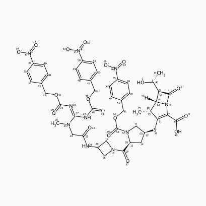 C[C@@H](O)[C@H]1C(=O)N2C(C(=O)O)=C(S[C@H]3C[C@@H](C(=O)N4CC(NC(=O)CN(C)C(=NC(=O)OCc5ccc([N+](=O)[O-])cc5)NC(=O)OCc5ccc([N+](=O)[O-])cc5)C4)N(C(=O)OCc4ccc([N+](=O)[O-])cc4)C3)[C@H](C)[C@H]12